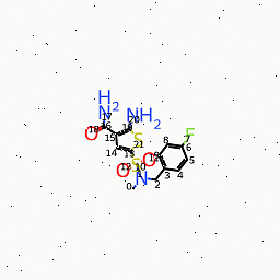 CN(Cc1ccc(F)cc1)S(=O)(=O)c1cc(C(N)=O)c(N)s1